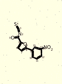 O=C(N=C=S)c1ccc(-c2cccc([N+](=O)[O-])c2)o1